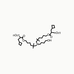 CCCCCCCCC(CC1CCC1)C(=O)OCCCCC(C)(C)CN(CCCCO)CC(C)(C)CCCCOC(=O)C(CCCCCCCC)CC1CCC1